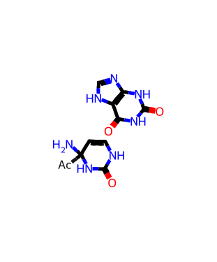 CC(=O)C1(N)C=CNC(=O)N1.O=c1[nH]c(=O)c2[nH]cnc2[nH]1